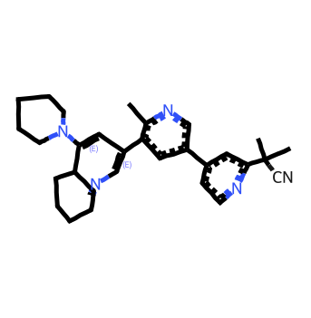 C=N/C=C(\C=C(/C1CCCCC1)N1CCCCC1)c1cc(-c2ccnc(C(C)(C)C#N)c2)cnc1C